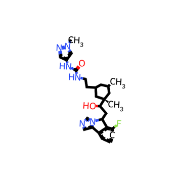 CC1CC(CCNC(=O)Nc2cnn(C)c2)C[C@@](C)(C(O)CC2c3c(F)cccc3-c3cncn32)C1